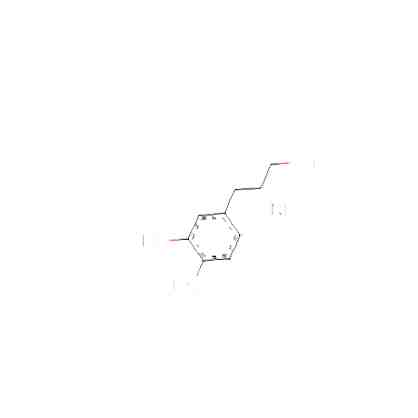 N[C@@H](CO)Cc1ccc(O)c(O)c1